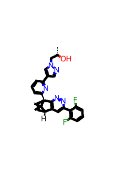 C[C@H](O)Cn1cc(-c2cccc([C@@]34CC[C@@H](c5cc(-c6c(F)cccc6F)nnc53)C4(C)C)n2)cn1